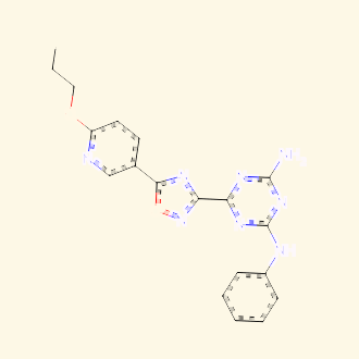 Nc1nc(Nc2ccccc2)nc(-c2noc(-c3ccc(OCCC(F)(F)F)nc3)n2)n1